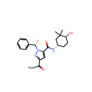 CNC(=O)c1cc(C(=O)N[C@H]2CC[C@H](O)C(C)(C)C2)n([C@@H](C)c2ccccc2)n1